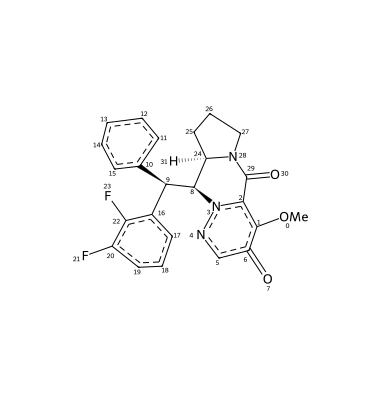 COc1c2n(ncc1=O)[C@@H]([C@H](c1ccccc1)c1cccc(F)c1F)[C@H]1CCCN1C2=O